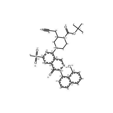 CC(C)(C)OC(=O)N1CCN(c2nc(S(C)(=O)=O)nc3c(=O)n(-c4cccc5cccc(Cl)c45)ncc23)CC1CC#N